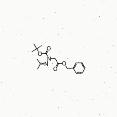 CC(C)=NN(CC(=O)OCc1ccccc1)C(=O)OC(C)(C)C